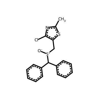 Cc1nc(Cl)c(C[S+]([O-])C(c2ccccc2)c2ccccc2)s1